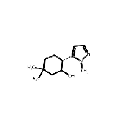 Cn1nccc1[C@H]1CCC(C)(C)CC1O